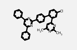 Cc1cc(-c2cc(Cl)ccc2-c2ccc(-c3nc(-c4ccccc4)cc(-c4ccccc4)n3)cc2)nc(C)n1